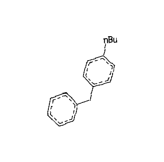 CCCCc1ccc(Cc2ccccc2)cc1